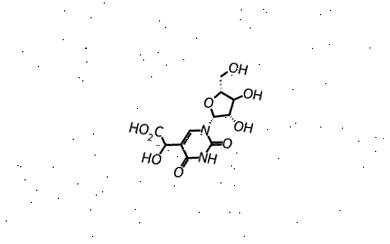 O=C(O)C(O)c1cn([C@@H]2O[C@H](CO)C(O)[C@@H]2O)c(=O)[nH]c1=O